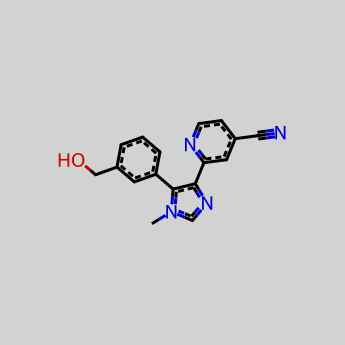 Cn1cnc(-c2cc(C#N)ccn2)c1-c1cccc(CO)c1